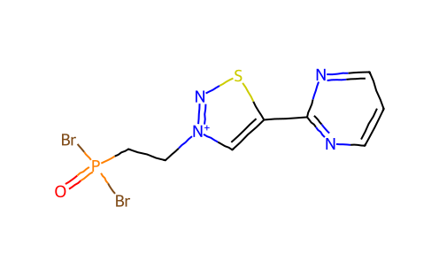 O=P(Br)(Br)CC[n+]1cc(-c2ncccn2)sn1